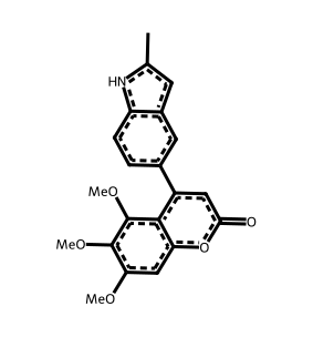 COc1cc2oc(=O)cc(-c3ccc4[nH]c(C)cc4c3)c2c(OC)c1OC